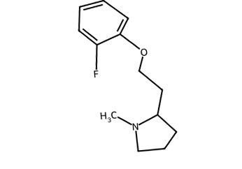 CN1CCCC1CCOc1ccccc1F